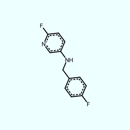 Fc1ccc(CNc2ccc(F)nc2)cc1